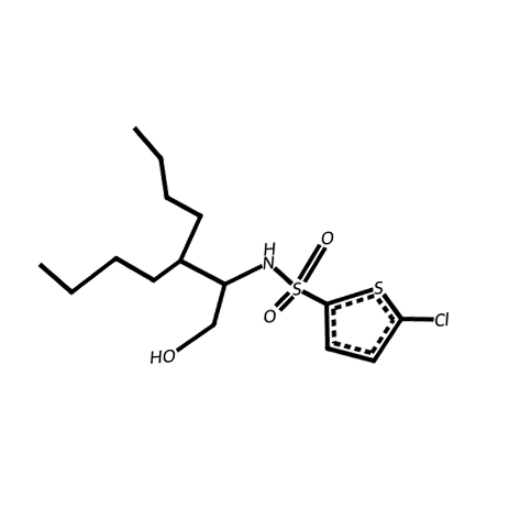 CCCCC(CCCC)C(CO)NS(=O)(=O)c1ccc(Cl)s1